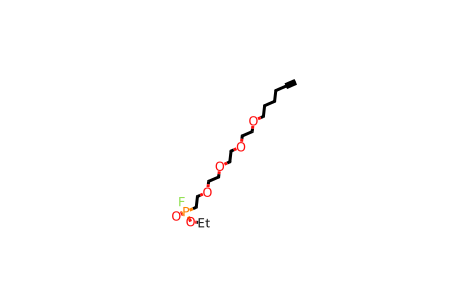 C#CCCCCOCCOCCOCCOCCP(=O)(F)OCC